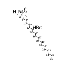 Br.C=CC(N)C(C)(C)CCCCCCCCCCCCCCCCCCC